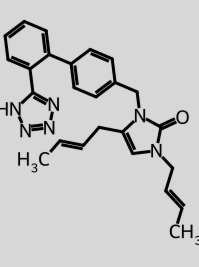 CC=CCc1cn(CC=CC)c(=O)n1Cc1ccc(-c2ccccc2-c2nnn[nH]2)cc1